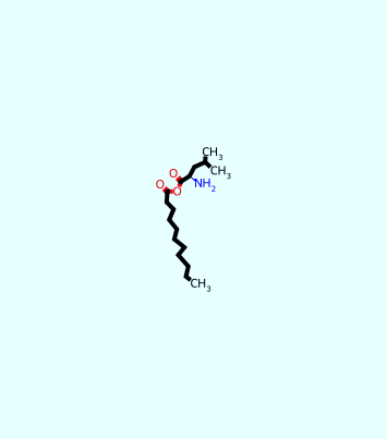 CCCCCCCCCCC(=O)OC(=O)[C@@H](N)CC(C)C